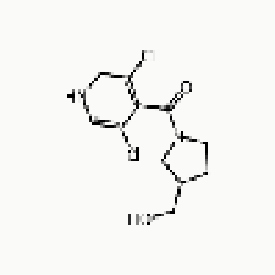 O=C(C1=C(Cl)CNC=C1Cl)N1CCC(CO)C1